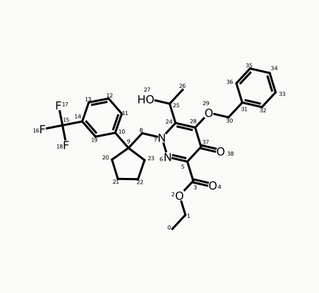 CCOC(=O)c1nn(CC2(c3cccc(C(F)(F)F)c3)CCCC2)c(C(C)O)c(OCc2ccccc2)c1=O